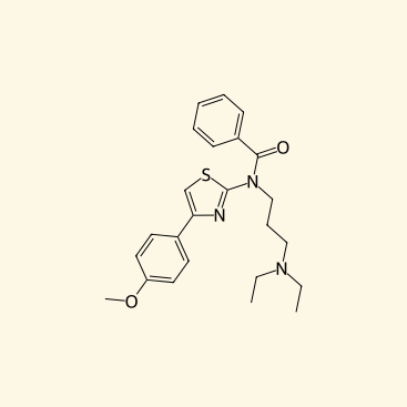 CCN(CC)CCCN(C(=O)c1ccccc1)c1nc(-c2ccc(OC)cc2)cs1